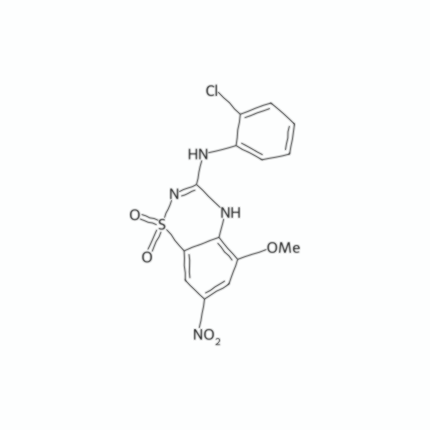 COc1cc([N+](=O)[O-])cc2c1NC(Nc1ccccc1Cl)=NS2(=O)=O